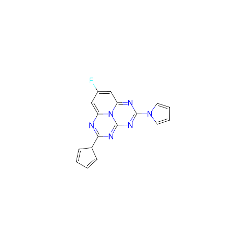 FC1=CC2=NC(n3cccc3)=NC3=NC(C4C=CC=C4)=NC(=C1)N23